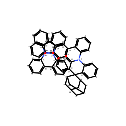 c1ccc(N2c3ccccc3C3(c4ccccc42)C2CC4CC(C2)CC3C4)c(-c2ccc3c(c2)c2ccccc2n3-c2ccccc2-c2ccccc2-n2c3ccccc3c3ccccc32)c1